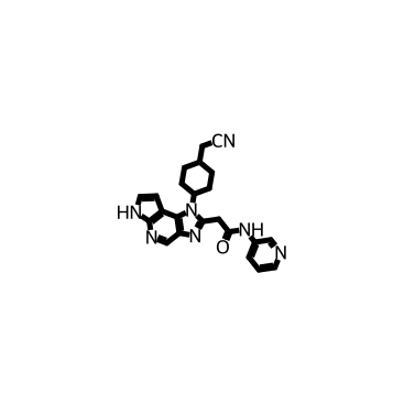 N#CCC1CCC(n2c(CC(=O)Nc3cccnc3)nc3cnc4[nH]ccc4c32)CC1